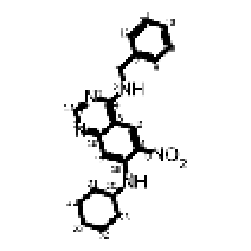 O=[N+]([O-])c1cc2c(NCc3ccccc3)ncnc2cc1NC1CCCCC1